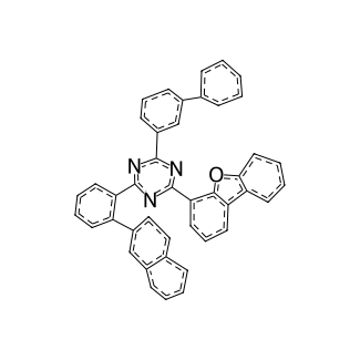 c1ccc(-c2cccc(-c3nc(-c4ccccc4-c4ccc5ccccc5c4)nc(-c4cccc5c4oc4ccccc45)n3)c2)cc1